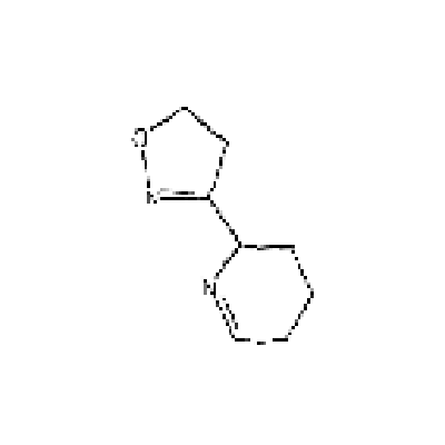 C1=NC(C2=NOCC2)CCC1